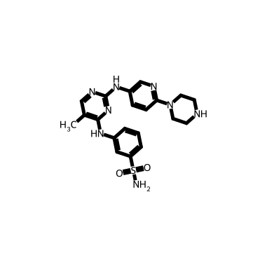 Cc1cnc(Nc2ccc(N3CCNCC3)nc2)nc1Nc1cccc(S(N)(=O)=O)c1